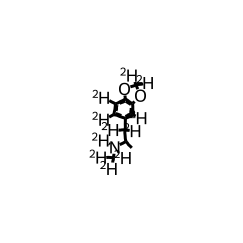 [2H]c1c([2H])c(C([2H])([2H])C(C)N([2H])C([2H])([2H])[2H])c([2H])c2c1OC([2H])([2H])O2